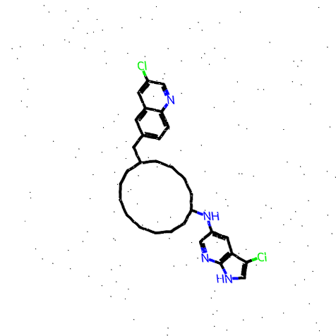 Clc1cnc2ccc(CC3CCCCCCCCC(Nc4cnc5[nH]cc(Cl)c5c4)CCCC3)cc2c1